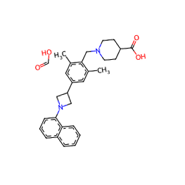 Cc1cc(C2CN(c3cccc4ccccc34)C2)cc(C)c1CN1CCC(C(=O)O)CC1.O=CO